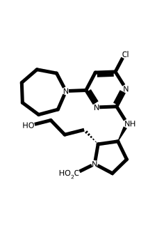 O=C(O)N1CC[C@H](Nc2nc(Cl)cc(N3CCCCCC3)n2)[C@H]1CCCO